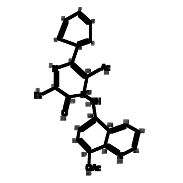 CCc1nc(-c2ccccc2)c(C(C)=O)n(Nc2ccc(OC(C)=O)c3ncccc23)c1=O